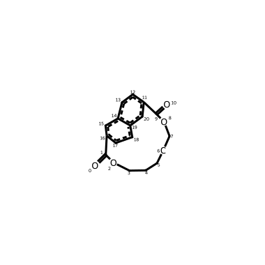 O=C1OCCCCCOC(=O)c2ccc3cc1ccc3c2